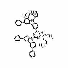 C=CC(C/C=C\C)C1=NC(n2c3ccc(-c4ccccc4)cc3c3cc(-c4ccccc4)ccc32)=NC(c2ccc3c(c2)c2cc(-c4ccccc4)cc4c2n3-c2ccccc2C4(C)C)N1